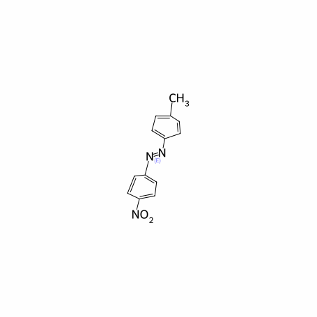 Cc1ccc(/N=N/c2ccc([N+](=O)[O-])cc2)cc1